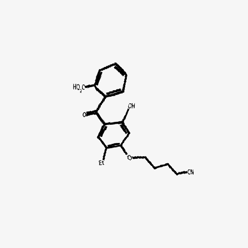 CCc1cc(C(=O)c2ccccc2C(=O)O)c(O)cc1OCCCCC#N